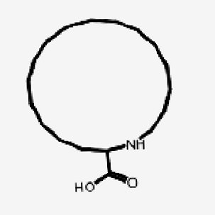 O=C(O)C1CCCCCCCCCCCCCCCCN1